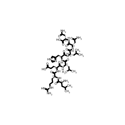 CC(C)C[C@H](NC(=O)[C@H](Cc1c[nH]cn1)NC(=O)[C@H](CC(C)C)NC(=O)[C@H](CCC(=O)O)NC(=O)[C@H](CCCNC(=N)N)NC(=O)[C@@H](N)CC(C)C)C(=O)N[C@@H](CC(N)=O)C(=O)N[C@@H](CC(N)=O)C(=O)O